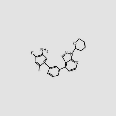 Cc1cc(F)c(N)cc1-c1cccc(-c2ccnc3c2cnn3C2CCCCO2)c1